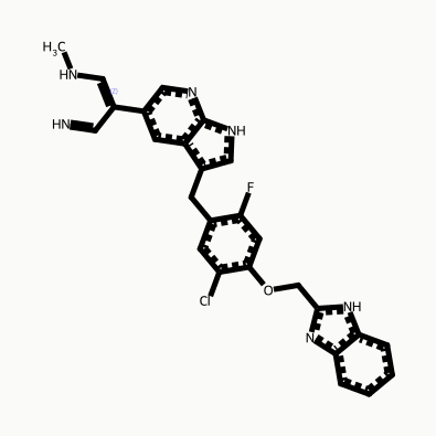 CN/C=C(\C=N)c1cnc2[nH]cc(Cc3cc(Cl)c(OCc4nc5ccccc5[nH]4)cc3F)c2c1